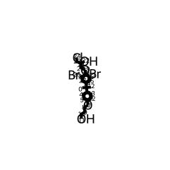 CC(C)(c1ccc(OCCCO)cc1)c1cc(Br)c(OCC(O)CCl)c(Br)c1